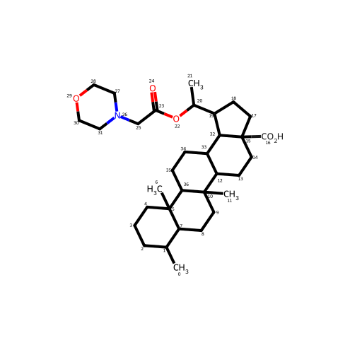 CC1CCCC2(C)C1CCC1(C)C3CCC4(C(=O)O)CCC(C(C)OC(=O)CN5CCOCC5)C4C3CCC21